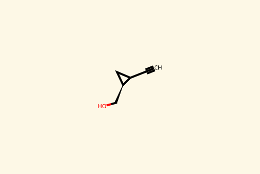 C#CC1C[C@@H]1CO